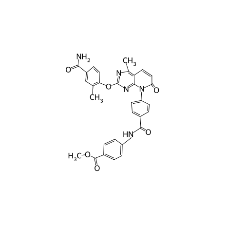 COC(=O)c1ccc(CNC(=O)c2ccc(-n3c(=O)ccc4c(C)nc(Oc5ccc(C(N)=O)cc5C)nc43)cc2)cc1